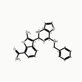 Cc1oc2c(C(N)=O)cccc2c1C1N=C(NCc2ccccc2)c2occc2N1